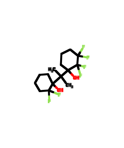 CC(C)(C1(O)CCCCC1(F)F)C1(O)CCCC(F)(F)C1(F)F